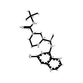 C[C@@H](Oc1nc(Cl)cc2nccnc12)[C@@H]1CN(C(=O)OC(C)(C)C)CCO1